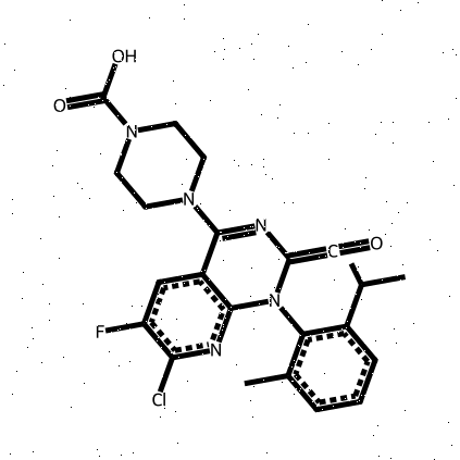 Cc1cccc(C(C)C)c1N1C(=C=O)N=C(N2CCN(C(=O)O)CC2)c2cc(F)c(Cl)nc21